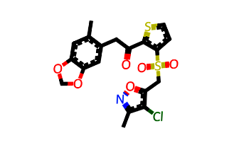 Cc1cc2c(cc1CC(=O)c1sccc1S(=O)(=O)Cc1onc(C)c1Cl)OCO2